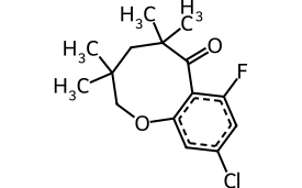 CC1(C)COc2cc(Cl)cc(F)c2C(=O)C(C)(C)C1